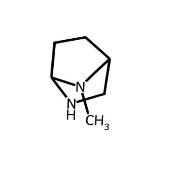 CN1C2CCC1NC2